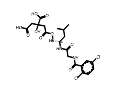 CC(C)C[C@@H](BOC(=O)CC(O)(CC(=O)O)C(=O)O)NC(=O)CNC(=O)c1cc(Cl)ccc1Cl